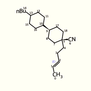 C/C=C/CC[C@]1(C#N)CC[C@@H](C2CCC(CCCC)CC2)CC1